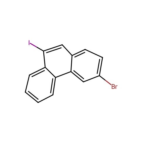 Brc1ccc2cc(I)c3ccccc3c2c1